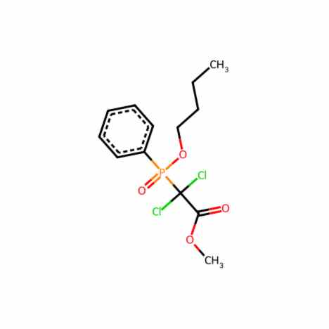 CCCCOP(=O)(c1ccccc1)C(Cl)(Cl)C(=O)OC